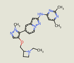 CCN1CCC1COc1cnn(C)c1-c1ccn2nc(Nc3cc(C)nc(C)n3)cc2c1